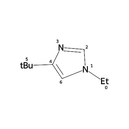 CCn1cnc(C(C)(C)C)c1